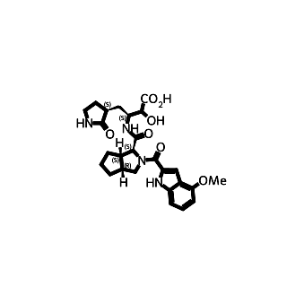 COc1cccc2[nH]c(C(=O)N3C[C@@H]4CCC[C@@H]4[C@H]3C(=O)N[C@@H](C[C@@H]3CCNC3=O)C(O)C(=O)O)cc12